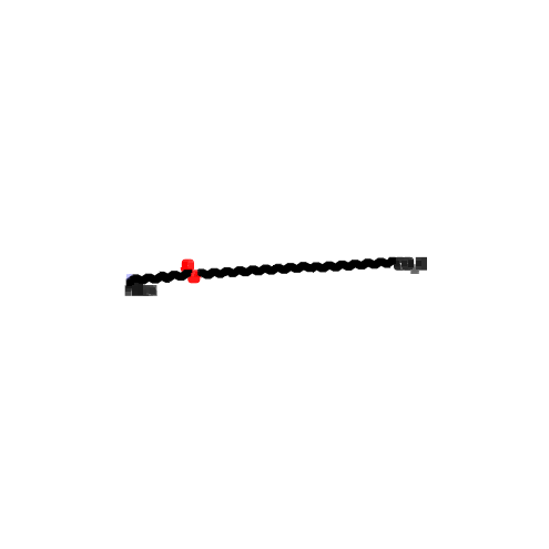 CCCCCC/C=C\CCCCCCCC(=O)OCCCCCCCCCCCCCCCCCCCCCCCCCCCCCCCC(=O)O